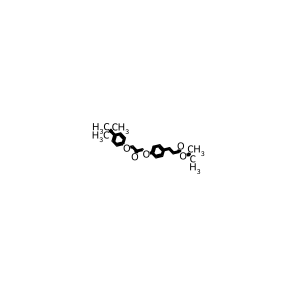 CC(C)OC(=O)CCc1ccc(OCC(=O)COc2ccc(C(C)(C)C)cc2)cc1